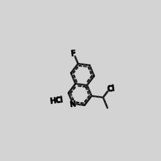 CC(Cl)c1cncc2cc(F)ccc12.Cl